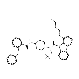 CCCCCc1cccc2c1C(C(=O)N(CC(F)(F)F)N1CCC(NC(=O)c3ccccc3Oc3ccccc3)CC1)c1ccccc1-2